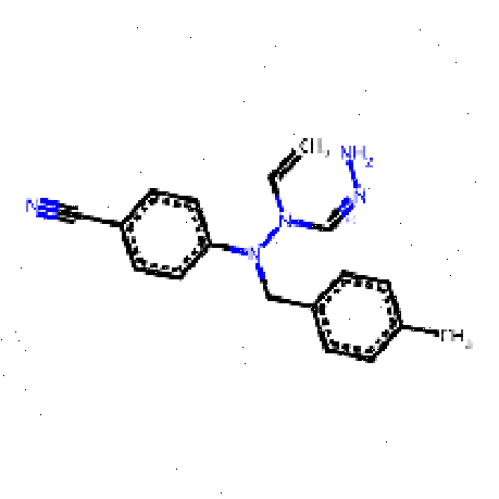 C=CN(/C=N\N)N(Cc1ccc(C)cc1)c1ccc(C#N)cc1